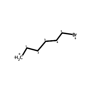 [CH2]CCCCCBr